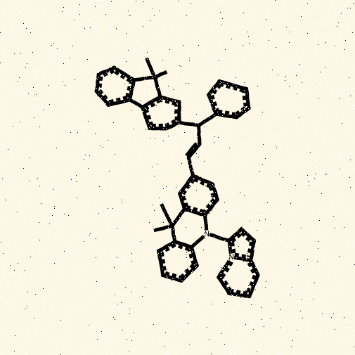 CC1(C)c2ccccc2-c2ccc(C(/C=C/c3ccc4c(c3)C(C)(C)c3ccccc3N4c3ccc4ccccn34)c3ccccc3)cc21